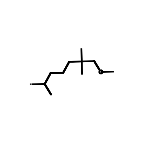 [CH2]C(C)CCCC(C)(C)COC